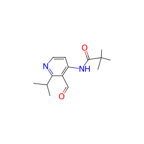 CC(C)c1nccc(NC(=O)C(C)(C)C)c1C=O